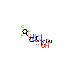 CCCCC(CO)NC(=O)c1c(C)nc2c(OCc3c(F)cc(F)cc3F)cccn12